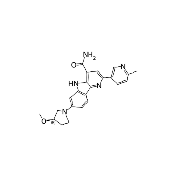 CO[C@@H]1CCN(c2ccc3c(c2)[nH]c2c(C(N)=O)cc(-c4ccc(C)nc4)nc23)C1